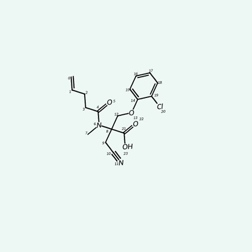 C=CCCC(=O)N(C)C(CC#N)(COc1ccccc1Cl)C(=O)O